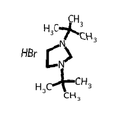 Br.CC(C)(C)N1CCN(C(C)(C)C)C1